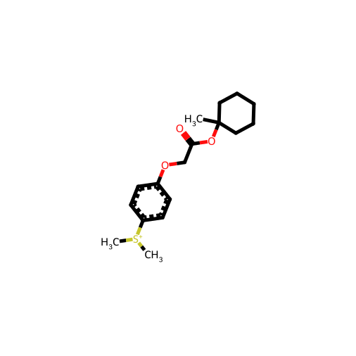 C[S+](C)c1ccc(OCC(=O)OC2(C)CCCCC2)cc1